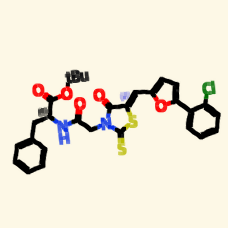 CC(C)(C)OC(=O)[C@H](Cc1ccccc1)NC(=O)CN1C(=O)/C(=C/c2ccc(-c3ccccc3Cl)o2)SC1=S